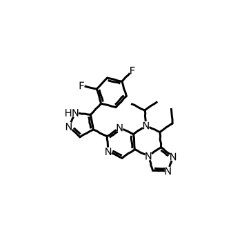 CCC1c2nncn2-c2cnc(-c3cn[nH]c3-c3ccc(F)cc3F)nc2N1C(C)C